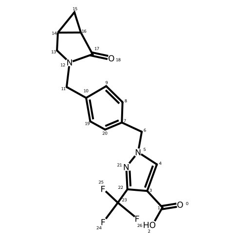 O=C(O)c1cn(Cc2ccc(CN3CC4CC4C3=O)cc2)nc1C(F)(F)F